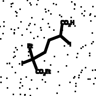 CCOC(=O)C(I)(CC)CCC(I)C(=O)O